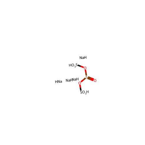 O=S(OS(=O)(=O)O)OS(=O)(=O)O.[NaH].[NaH].[NaH].[NaH]